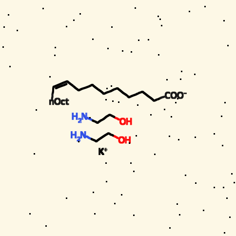 CCCCCCCC/C=C\CCCCCCCC(=O)[O-].NCCO.NCCO.[K+]